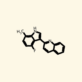 Cc1ccc(F)c2c(-c3ccc4ccccc4n3)c[nH]c12